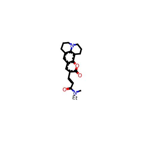 CCN(C)C(=O)/C=C/c1cc2cc3c4c(c2oc1=O)CCCN4CCC3